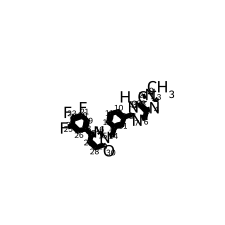 CN(C)/C=N\c1cnc(-c2cccc(Cn3nc(-c4cc(F)c(F)c(F)c4)ccc3=O)c2)nc1